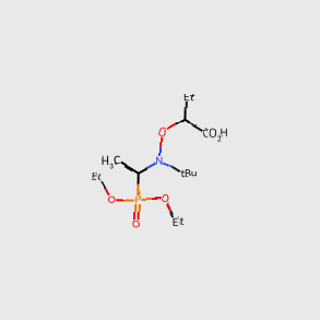 CCOP(=O)(OCC)C(C)N(OC(CC)C(=O)O)C(C)(C)C